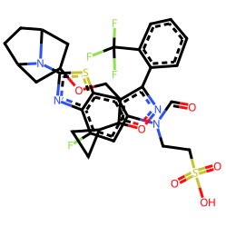 O=CN(CCS(=O)(=O)O)c1cc(F)c2nc(N3C4CCC3CC(OCc3c(-c5ccccc5C(F)(F)F)noc3C3CC3)C4)sc2c1